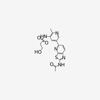 CC(=O)Nc1nc2ccc(-c3cnc(C)c(NS(=O)(=O)CCO)c3)nc2s1